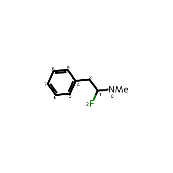 CNC(F)Cc1ccccc1